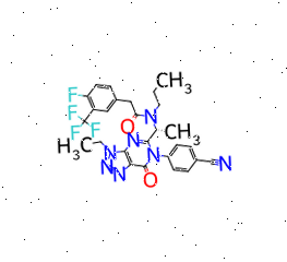 CCCN(C(=O)Cc1ccc(F)c(C(F)(F)F)c1)[C@H](C)c1nc2c(nnn2CC)c(=O)n1-c1ccc(C#N)cc1